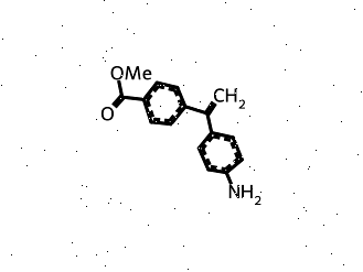 C=C(c1ccc(N)cc1)c1ccc(C(=O)OC)cc1